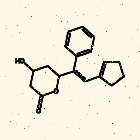 O=C1CC(O)CC(C(=CC2=CCCC2)c2ccccc2)O1